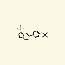 FC(F)(F)Oc1ccc(-c2cc3c(C(F)(F)F)ncn3cn2)cc1